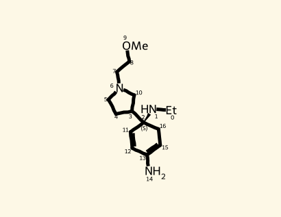 CCN[C@]1(C2CCN(CCOC)C2)C=CC(N)=CC1